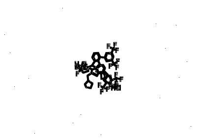 Cl.Cl.[CH3][Zr](=[SiH2])([CH2]CC(F)(F)F)([CH]1C(CC2CCCC2)=Cc2c(-c3cc(C(F)(F)F)cc(C(F)(F)F)c3)cccc21)[CH]1C(CC2CCCC2)=Cc2c(-c3cc(C(F)(F)F)cc(C(F)(F)F)c3)cccc21